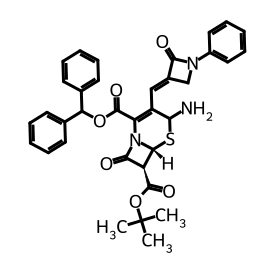 CC(C)(C)OC(=O)[C@H]1C(=O)N2C(C(=O)OC(c3ccccc3)c3ccccc3)=C(C=C3CN(c4ccccc4)C3=O)C(N)S[C@H]12